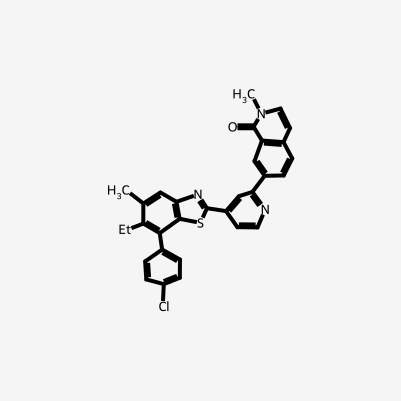 CCc1c(C)cc2nc(-c3ccnc(-c4ccc5ccn(C)c(=O)c5c4)c3)sc2c1-c1ccc(Cl)cc1